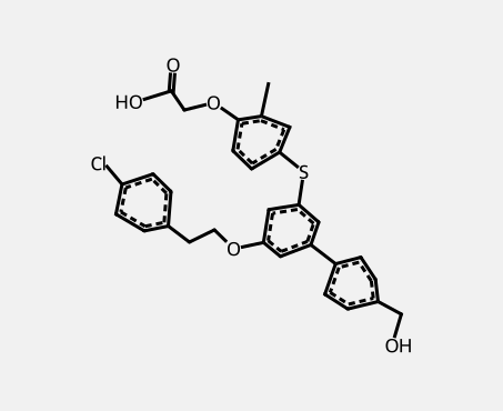 Cc1cc(Sc2cc(OCCc3ccc(Cl)cc3)cc(-c3ccc(CO)cc3)c2)ccc1OCC(=O)O